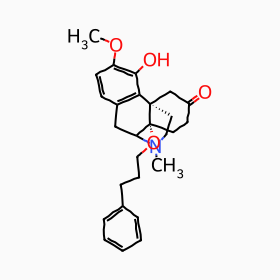 COc1ccc2c(c1O)[C@]13CCN(C)C(C2)[C@]1(OCCCc1ccccc1)CCC(=O)C3